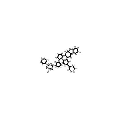 Cc1nc(-c2ccccc2)nc(-c2ccc(-c3cc(C4=CCCC=C4)cc(-c4ccc5c(c4)-c4ccccc4C5)c3-c3ccccc3)cc2)n1